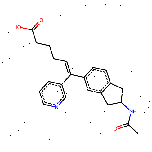 CC(=O)NC1Cc2ccc(C(=CCCCC(=O)O)c3cccnc3)cc2C1